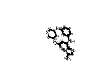 CC(C)c1cnc2c(Nc3cccc(F)c3)cc(O[C@H]3CCCSC3)nn12